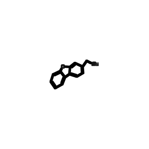 CC(C)(C)Cc1ccc2c(c1)oc1ccccc12